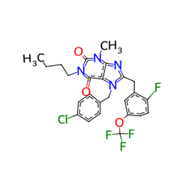 CCCCn1c(=O)c2c(nc(Cc3cc(OC(F)(F)F)ccc3F)n2Cc2ccc(Cl)cc2)n(C)c1=O